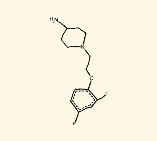 NC1CCN(CCOc2ccc(F)cc2F)CC1